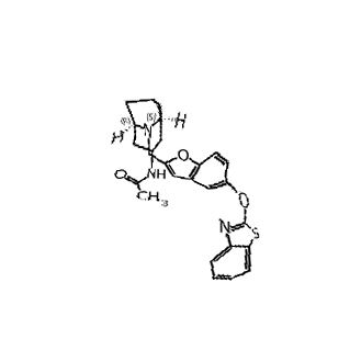 CC(=O)NC1C[C@H]2CC[C@@H](C1)N2Cc1cc2cc(Oc3nc4ccccc4s3)ccc2o1